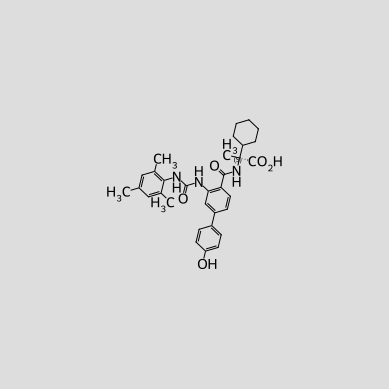 Cc1cc(C)c(NC(=O)Nc2cc(-c3ccc(O)cc3)ccc2C(=O)N[C@](C)(C(=O)O)C2CCCCC2)c(C)c1